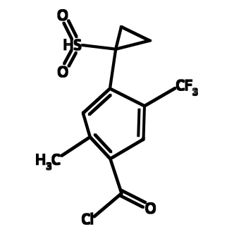 Cc1cc(C2([SH](=O)=O)CC2)c(C(F)(F)F)cc1C(=O)Cl